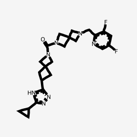 O=C(N1CC2(CC(c3nnc(C4CC4)[nH]3)C2)C1)N1CC2(CN(Cc3ncc(F)cc3F)C2)C1